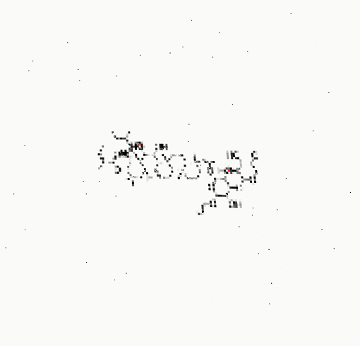 C/C=C(/C)C(=O)O[C@H]1[C@H](OC(=O)C(C)CC)[C@]2(CO)[C@H](O)[C@H](O)[C@]3(C)C(=CCC4[C@@]5(C)CCC(OC6OC(OC=O)C(O)C(OC7OCC(O)C(O)C7O)C6O)[C@@](C)(C=O)C5CC[C@]43C)[C@@H]2CC1(C)C